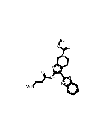 CNCCC(=O)Nc1sc2c(c1-c1nc3ccccc3s1)CCN(C(=O)OC(C)(C)C)C2